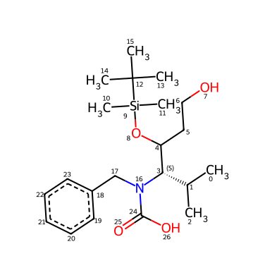 CC(C)[C@@H](C(CCO)O[Si](C)(C)C(C)(C)C)N(Cc1ccccc1)C(=O)O